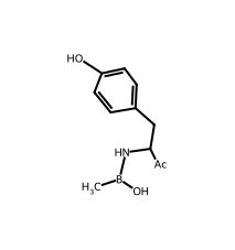 CB(O)NC(Cc1ccc(O)cc1)C(C)=O